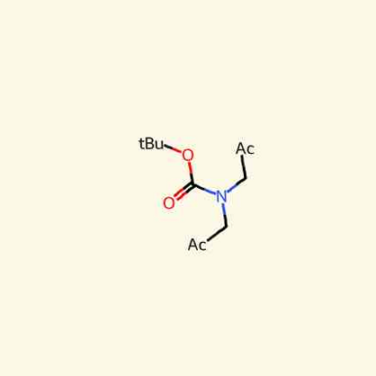 CC(=O)CN(CC(C)=O)C(=O)OC(C)(C)C